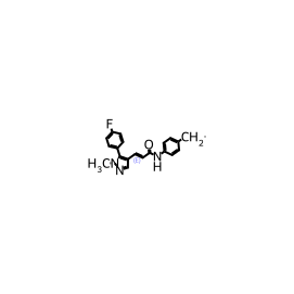 [CH2]c1ccc(NC(=O)/C=C/c2cnn(C)c2-c2ccc(F)cc2)cc1